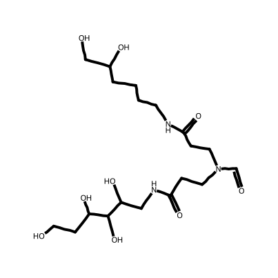 O=CN(CCC(=O)NCCCCC(O)CO)CCC(=O)NCC(O)C(O)C(O)CCO